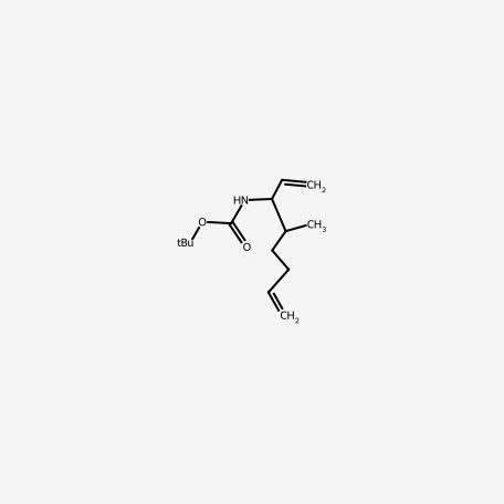 C=CCCC(C)C(C=C)NC(=O)OC(C)(C)C